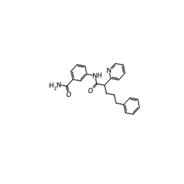 NC(=O)c1cccc(NC(=O)C(CCCc2ccccc2)c2ccccn2)c1